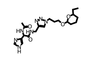 CCC1CCCC(OCCCn2cc(CNC(=O)C(NC(C)=O)c3c[nH]cn3)nn2)O1